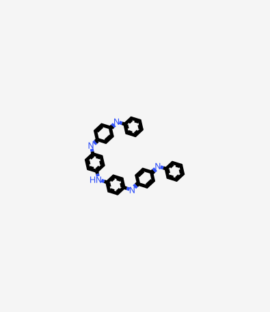 C1=CC(=Nc2ccc(Nc3ccc(N=C4C=CC(=Nc5ccccc5)C=C4)cc3)cc2)C=CC1=Nc1ccccc1